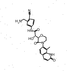 Cc1c(N2CCO[C@H]([C@@H](O)C(=O)Nc3ccc(C#N)c(CN)c3)C2=O)ccc2ccc(=O)[nH]c12